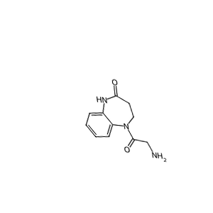 NCC(=O)N1CCC(=O)Nc2ccccc21